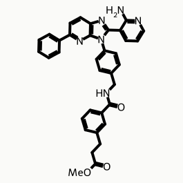 COC(=O)CCc1cccc(C(=O)NCc2ccc(-n3c(-c4cccnc4N)nc4ccc(-c5ccccc5)nc43)cc2)c1